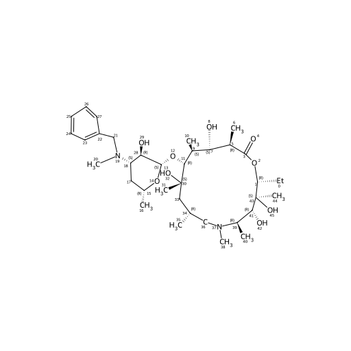 CC[C@H]1OC(=O)[C@H](C)[C@@H](O)[C@H](C)[C@@H](O[C@@H]2O[C@H](C)C[C@H](N(C)Cc3ccccc3)[C@H]2O)[C@@](C)(O)C[C@@H](C)CN(C)[C@H](C)[C@@H](O)[C@]1(C)O